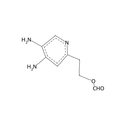 Nc1cnc(CCOC=O)cc1N